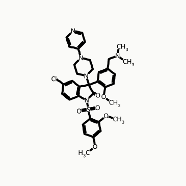 COc1ccc(S(=O)(=O)N2C(=O)C(c3cc(CN(C)C)ccc3OC)(N3CCN(c4ccncc4)CC3)c3cc(Cl)ccc32)c(OC)c1